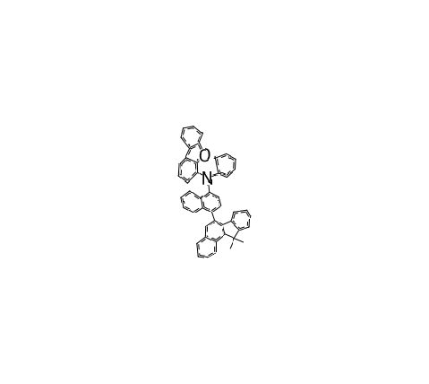 CC1(C)c2ccccc2-c2c(-c3ccc(N(c4ccccc4)c4cccc5c4oc4ccccc45)c4ccccc34)cc3ccccc3c21